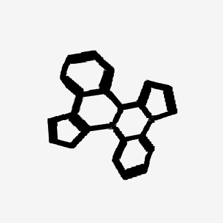 C1=CC2=C(C1)N1c3ccccc3-n3cccc3C1c1ccccc12